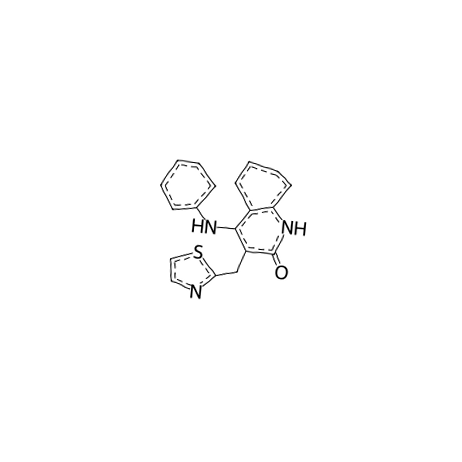 O=c1[nH]c2ccccc2c(Nc2ccccc2)c1Cc1nccs1